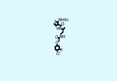 C=C(CCNC(=O)COc1ccc(Cl)c(F)c1)NC(=O)c1ccsc1NC(C)=O